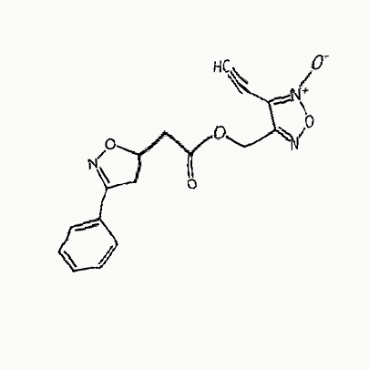 C#Cc1c(COC(=O)CC2CC(c3ccccc3)=NO2)no[n+]1[O-]